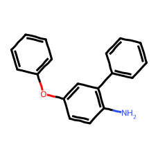 Nc1ccc(Oc2ccccc2)cc1-c1ccccc1